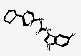 O=C(Nc1ccc(C2CCCCC2)cn1)Nc1c[nH]c2ccc(Br)cc12